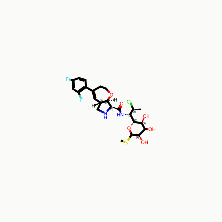 CSC1O[C@H]([C@H](NC(=O)[C@H]2NC[C@@H]3C=C(c4ccc(F)cc4F)CCO[C@@H]23)[C@H](C)Cl)[C@@H](O)C(O)[C@H]1O